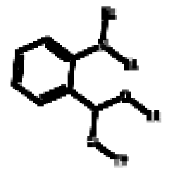 CCOC(OCC)c1ccccc1N(CC)CC